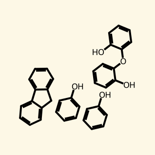 Oc1ccccc1.Oc1ccccc1.Oc1ccccc1Oc1ccccc1O.c1ccc2c(c1)Cc1ccccc1-2